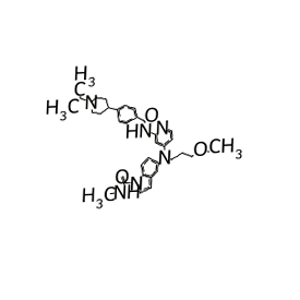 CCOCCCN(c1ccnc(NC(=O)c2ccc(C3CCN(C(C)C)CC3)cc2)c1)c1ccc2c(ccn2C(=O)NC)c1